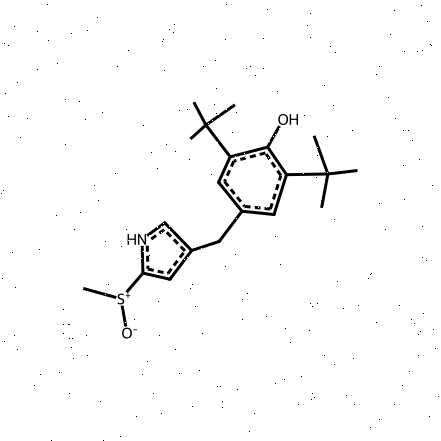 C[S+]([O-])c1cc(Cc2cc(C(C)(C)C)c(O)c(C(C)(C)C)c2)c[nH]1